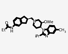 CCC(=O)Nc1ccc2c(c1)C[C@H](CN1CC[C@@H](n3c(C(C)C)nc4cc(C)ccc43)[C@H](OC)C1)C2